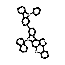 c1ccc(-n2c3ccccc3c3ccc(-c4ccc5c6c7cccc8c7c(cc6n(-c6cccc7ccccc67)c5c4)Oc4ccccc4-8)cc32)cc1